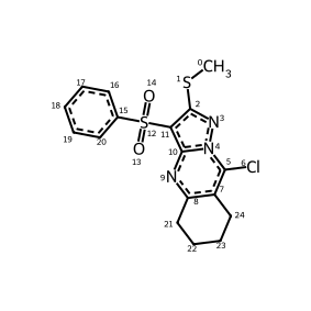 CSc1nn2c(Cl)c3c(nc2c1S(=O)(=O)c1ccccc1)CCCC3